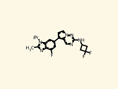 Cc1nc2c(F)cc(-c3ccn4nc(NC5CC(F)(F)C5)ncc34)cc2n1C(C)C